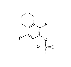 CS(=O)(=O)Oc1cc(F)c2c(c1F)CCCC2